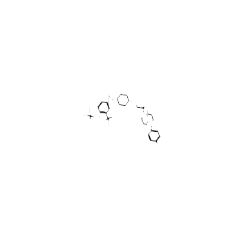 FC(F)(F)Oc1ccc(N[C@H]2CC[C@H](OCC(=S)N3CCN(c4ccc(Cl)cc4)CC3)CC2)cc1C(F)(F)F